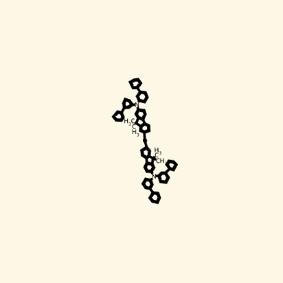 CC1(C)c2cc(C#Cc3ccc4c(c3)C(C)(C)c3cc(N(c5cccc(-c6ccccc6)c5)c5cccc(-c6ccccc6)c5)ccc3-4)ccc2-c2ccc(N(c3cccc(-c4ccccc4)c3)c3cccc(-c4ccccc4)c3)cc21